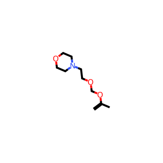 C=C(C)OCOCCN1CCOCC1